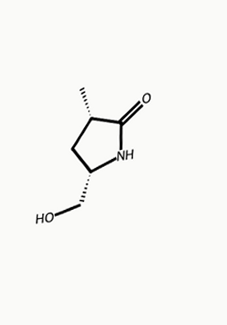 C[C@H]1C[C@@H](CO)NC1=O